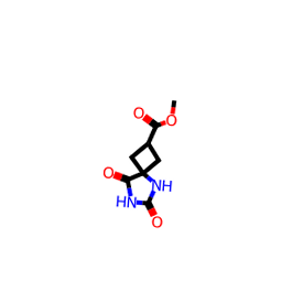 COC(=O)C1CC2(C1)NC(=O)NC2=O